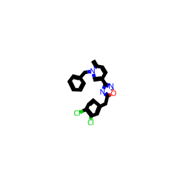 C=C1C=CC(c2noc(Cc3ccc(Cl)c(Cl)c3)n2)=CN1Cc1ccccc1